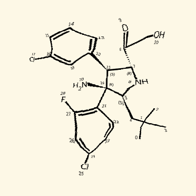 CC(C)(C)C[C@@H]1N[C@@H](C(=O)O)[C@H](c2cccc(Cl)c2)[C@@]1(N)c1ccc(Cl)cc1F